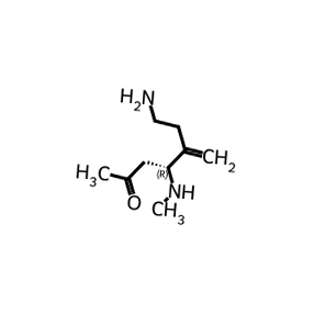 C=C(CCN)[C@@H](CC(C)=O)NC